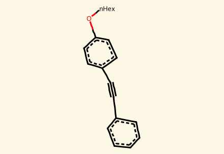 CCCCCCOc1ccc(C#Cc2ccccc2)cc1